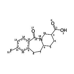 O=C(O)C1CCC2CCc3cc(F)ccc3C(=O)N2C1